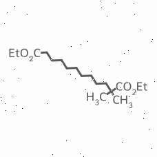 CCOC(=O)CCCCCCCCCC(C)(C)C(=O)OCC